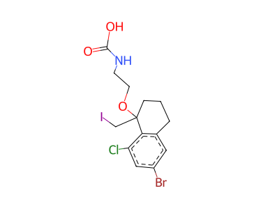 O=C(O)NCCOC1(CI)CCCc2cc(Br)cc(Cl)c21